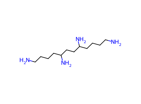 NCCCCC(N)CCC(N)CCCCN